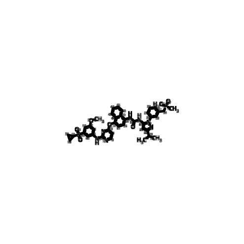 COc1cc(Nc2nccc(Oc3ccc(NC(=O)Nc4cc(C(C)C)nn4-c4cccc(CP(C)(C)=O)c4)c4ccccc34)n2)cc(S(=O)(=O)C2CC2)c1